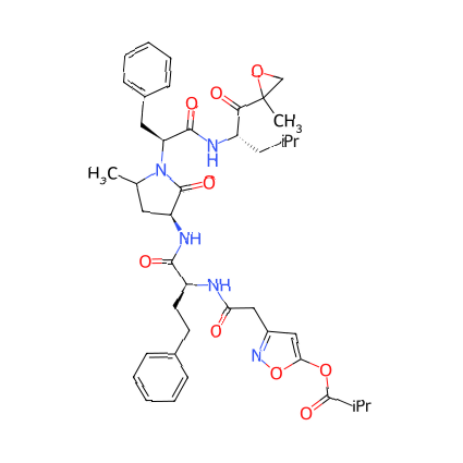 CC(C)C[C@H](NC(=O)[C@H](Cc1ccccc1)N1C(=O)[C@@H](NC(=O)[C@H](CCc2ccccc2)NC(=O)Cc2cc(OC(=O)C(C)C)on2)CC1C)C(=O)C1(C)CO1